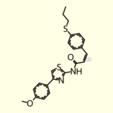 CCCSc1ccc(/C=C\C(=O)Nc2nc(-c3ccc(OC)cc3)cs2)cc1